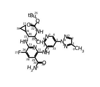 Cc1cnn(-c2cncc(Nc3nc(N[C@H](C4CC4)[C@H](C)NC(=O)OC(C)(C)C)c(F)cc3C(N)=O)c2)n1